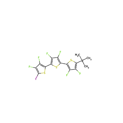 C[Si](C)(C)c1sc(-c2sc(-c3sc(I)c(F)c3F)c(F)c2F)c(F)c1F